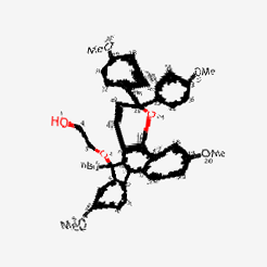 CCCCC1(OCCO)c2cc(OC)ccc2-c2c1c1c(c3cc(OC)ccc23)OC(c2ccc(OC)cc2)(c2ccc(OC)cc2)C=C1